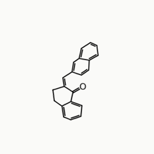 O=C1C(=Cc2ccc3ccccc3c2)CCc2ccccc21